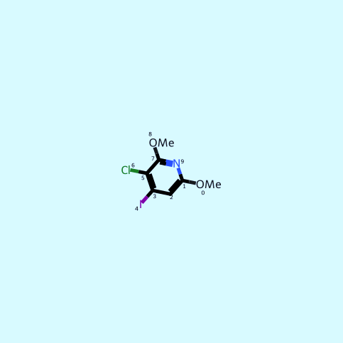 COc1cc(I)c(Cl)c(OC)n1